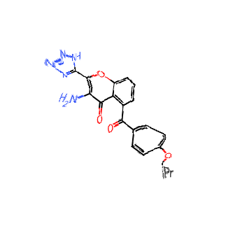 CC(C)Oc1ccc(C(=O)c2cccc3oc(-c4nnn[nH]4)c(N)c(=O)c23)cc1